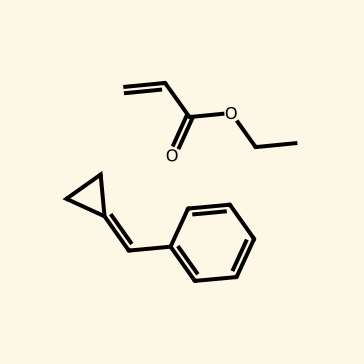 C(=C1CC1)c1ccccc1.C=CC(=O)OCC